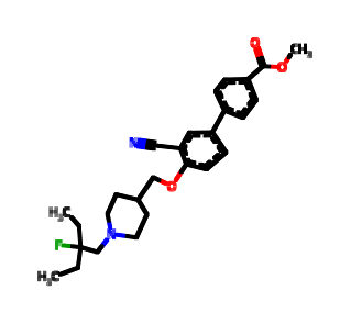 CCC(F)(CC)CN1CCC(COc2ccc(-c3ccc(C(=O)OC)cc3)cc2C#N)CC1